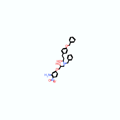 Nc1cc(OCC(O)CN(Cc2ccccc2)[C@@H](O)CCc2ccc(OCc3ccccc3)cc2)ccc1[N+](=O)[O-]